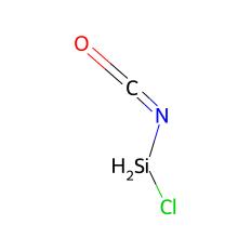 O=C=N[SiH2]Cl